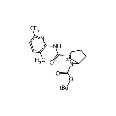 Cc1ccc(C(F)(F)F)nc1NC(=O)[C@@H]1C2CCC(C2)N1C(=O)OC(C)(C)C